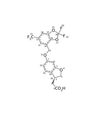 O=C(O)C[C@@H]1COc2cc(OCc3cc(C(F)(F)F)cc4c3OC(F)(F)O4)ccc21